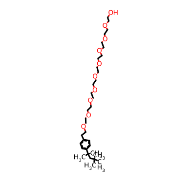 CC(C)(C)CC(C)(C)c1ccc(CCOCCOCCOCCOCCOCCOCCOCCOCCOCCO)cc1